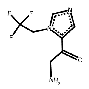 NCC(=O)c1cncn1CC(F)(F)F